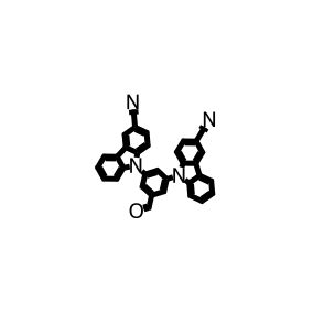 N#Cc1ccc2c(c1)c1ccccc1n2-c1cc(C=O)cc(-n2c3ccccc3c3cc(C#N)ccc32)c1